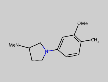 CNC1CCN(c2ccc(C)c(OC)c2)C1